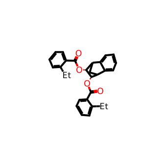 CCc1ccccc1C(=O)O[C@@H]1C2CC(c3ccccc32)[C@@H]1OC(=O)c1ccccc1CC